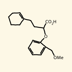 COCc1ccccc1OC(CCC1=CCCCC1)C(=O)O